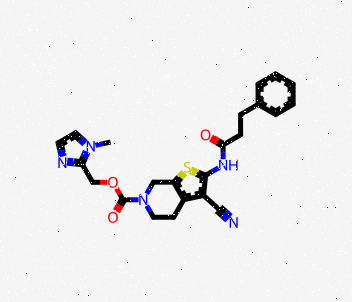 Cn1ccnc1COC(=O)N1CCc2c(sc(NC(=O)CCc3ccccc3)c2C#N)C1